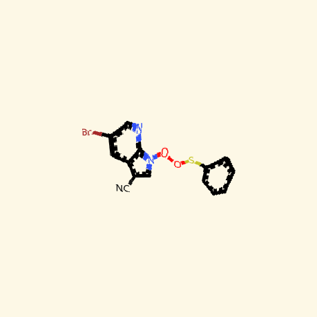 N#Cc1cn(OOSc2ccccc2)c2ncc(Br)cc12